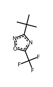 CC(C)(C)c1noc(C(F)(F)F)n1